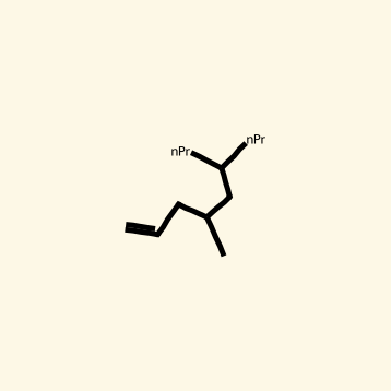 C=CCC(C)CC(CCC)CCC